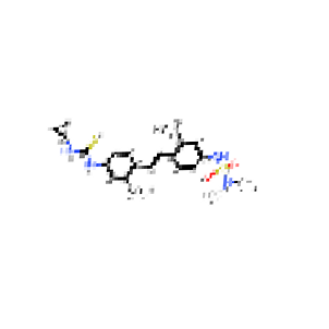 CN(C)S(=O)(=O)Nc1ccc(/C=C/c2ccc(NC(=S)NC3CC3)cc2S(=O)(=O)O)c(S(=O)(=O)O)c1